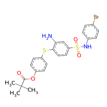 CC(C)(C)C(=O)Oc1ccc(Sc2ccc(S(=O)(=O)Nc3ccc(Br)cc3)cc2N)cc1